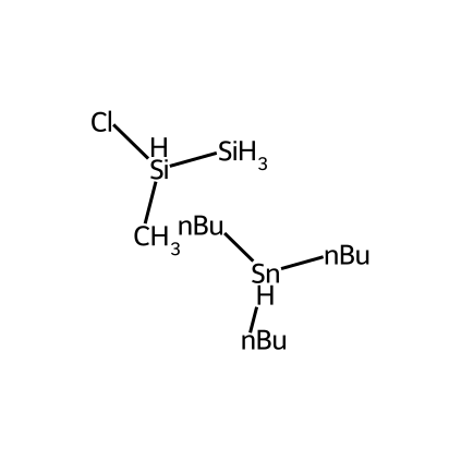 CCC[CH2][SnH]([CH2]CCC)[CH2]CCC.C[SiH]([SiH3])Cl